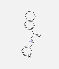 O=C(/C=C/c1cccnc1)c1ccc2c(c1)CCCC2